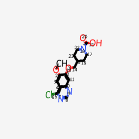 COc1cc2c(Cl)ncnc2cc1OCC1CCN(C(=O)O)CC1